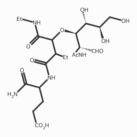 CCNC(=O)C(O[C@@H]([C@H](O)[C@H](O)CO)[C@H](C=O)NC(C)=O)C(CC)C(=O)NC(CCC(=O)O)C(N)=O